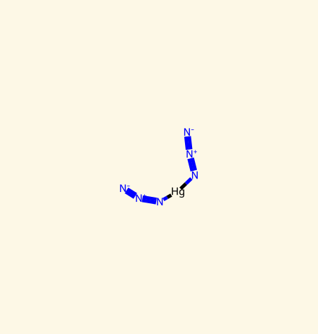 [N-]=[N+]=[N][Hg][N]=[N+]=[N-]